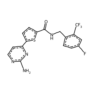 Nc1nccc(-c2ccc(C(=O)NCc3ccc(F)cc3C(F)(F)F)s2)n1